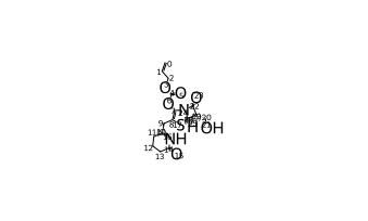 C=CCOC(=O)OC1=C(C[C@@H]2CCCC(=O)N2)S[C@@H]2[C@@H](CO)C(=O)N12